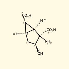 N[C@]1(C(=O)O)[C@H]2[C@@H](C[C@@H]1O)[C@@H]2C(=O)O